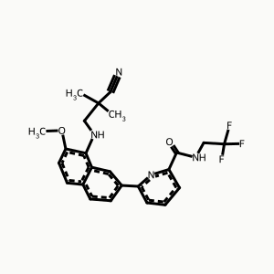 COc1ccc2ccc(-c3cccc(C(=O)NCC(F)(F)F)n3)cc2c1NCC(C)(C)C#N